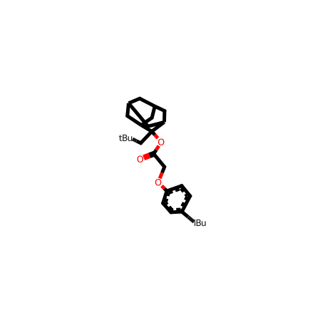 CCC(C)c1ccc(OCC(=O)OC2(CC(C)(C)C)C3CC4CC(C3)CC2C4)cc1